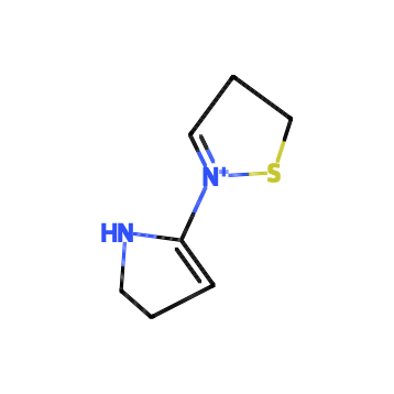 C1=C([N+]2=CCCS2)NCC1